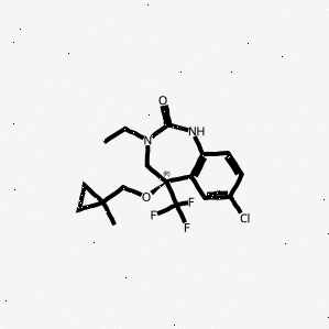 CCN1C[C@@](OCC2(C)CC2)(C(F)(F)F)c2cc(Cl)ccc2NC1=O